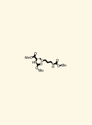 COC(=O)[C@H](COCCCNC(=O)OC(C)(C)C)NC(=O)OC(C)(C)C